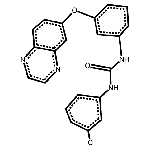 O=C(Nc1cccc(Cl)c1)Nc1cccc(Oc2ccc3nccnc3c2)c1